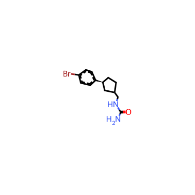 NC(=O)NCC1CC[C@H](c2ccc(Br)cc2)C1